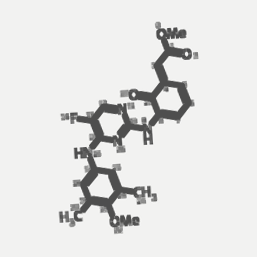 COC(=O)C=C1C=CC=C(Nc2ncc(F)c(Nc3cc(C)c(OC)c(C)c3)n2)C1=O